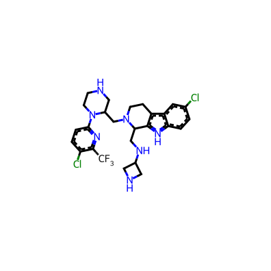 FC(F)(F)c1nc(N2CCNCC2CN2CCc3c([nH]c4ccc(Cl)cc34)C2CNC2CNC2)ccc1Cl